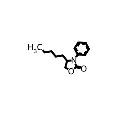 CCCCCC1COC(=O)N1c1ccccc1